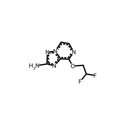 Nc1nc2c(OCC(F)F)nccn2n1